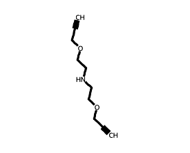 C#CCOCCNCCOCC#C